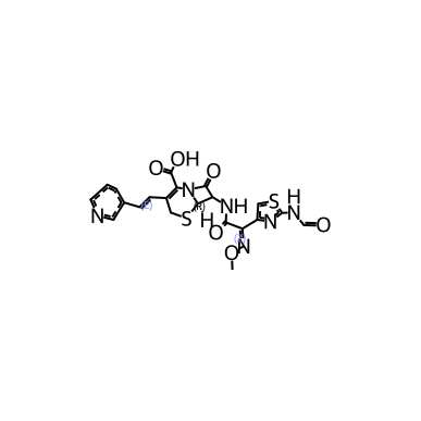 CO/N=C(\C(=O)NC1C(=O)N2C(C(=O)O)=C(/C=C/c3cccnc3)CS[C@H]12)c1csc(NC=O)n1